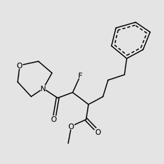 COC(=O)C(CCCc1ccccc1)C(F)C(=O)N1CCOCC1